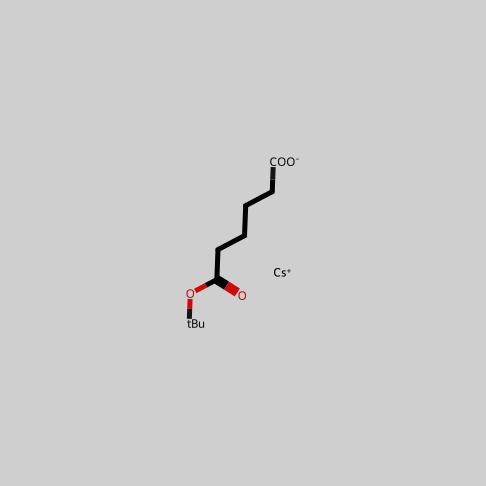 CC(C)(C)OC(=O)CCCCC(=O)[O-].[Cs+]